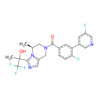 C[C@H]1CN(C(=O)c2ccc(F)c(-c3cncc(F)c3)c2)Cc2cnc(C(C)(O)C(F)(F)F)n21